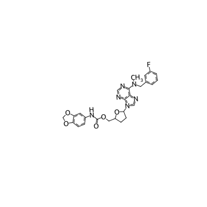 CN(Cc1cccc(F)c1)c1ncnc2c1ncn2C1CCC(COC(=O)Nc2ccc3c(c2)OCO3)O1